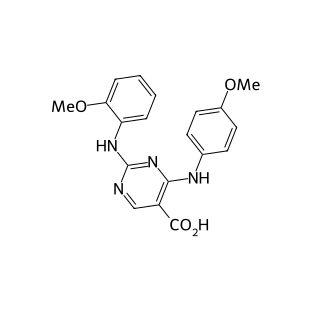 COc1ccc(Nc2nc(Nc3ccccc3OC)ncc2C(=O)O)cc1